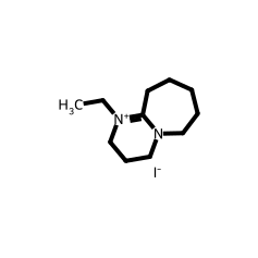 CC[N+]1=C2CCCCCN2CCC1.[I-]